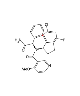 COc1ccncc1C(=O)N([C@@H]1CCc2c(F)cc(Cl)cc21)[C@@H](C(N)=O)c1ccccc1